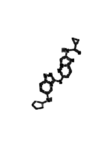 O=C(Nc1cn2nc(Sc3nnc4ccc(NC5CCCC5)cn34)ccc2n1)C1CC1